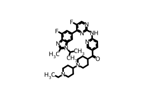 CCN1CCC(N2CCC(C(=O)c3ccc(Nc4ncc(F)c(-c5cc(F)c6nc(C)n(C(C)C)c6c5)n4)nc3)CC2)CC1